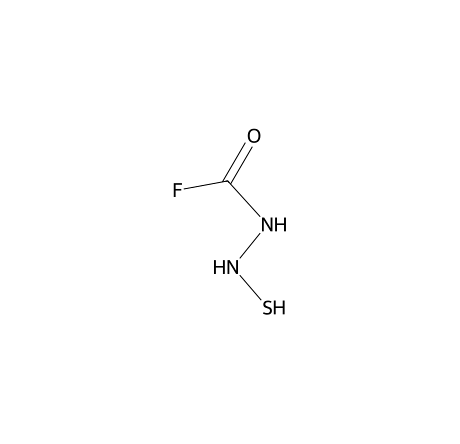 O=C(F)NNS